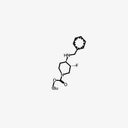 CC(C)(C)OC(=O)N1CC[C@@H](NCc2ccccc2)[C@H](F)C1